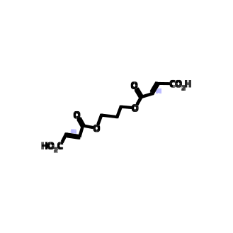 O=C(O)/C=C/C(=O)OCCCOC(=O)/C=C/C(=O)O